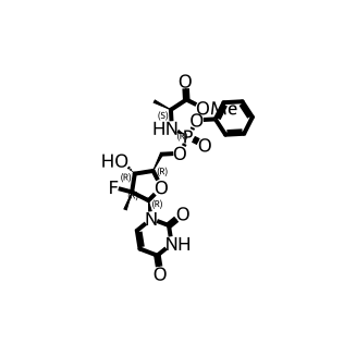 COC(=O)[C@H](C)N[P@@](=O)(OC[C@H]1O[C@@H](n2ccc(=O)[nH]c2=O)[C@](C)(F)[C@@H]1O)Oc1ccccc1